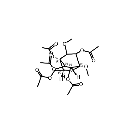 COC1C(OC(C)=O)[C@@]2(OC)O[C@H](COC(C)=O)[C@]1(OC(C)=O)[C@H](OC(C)=O)[C@H]2OC(C)=O